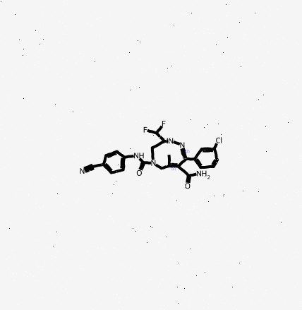 C/C1=C(C(N)=O)\C(c2cccc(Cl)c2)=N/NC(C(F)F)CN(C(=O)Nc2ccc(C#N)cc2)C1